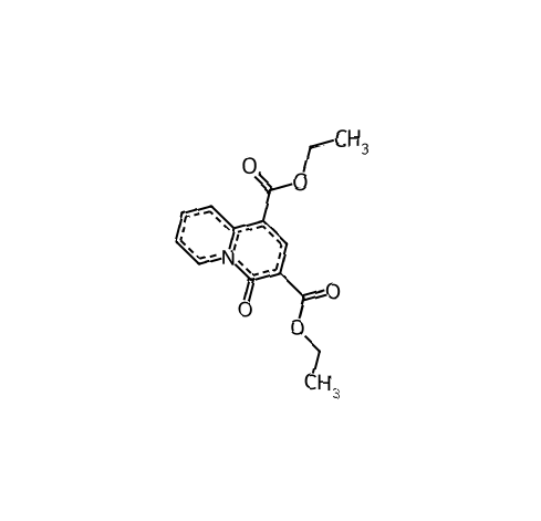 CCOC(=O)c1cc(C(=O)OCC)c2ccccn2c1=O